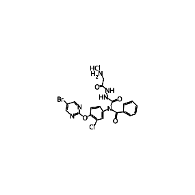 Cl.NCC(=O)NNC(=O)N(C(=O)c1ccccc1)c1ccc(Oc2ncc(Br)cn2)c(Cl)c1